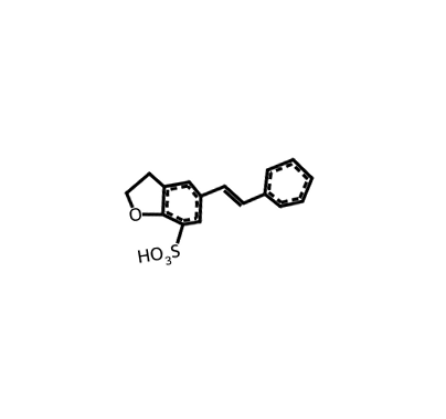 O=S(=O)(O)c1cc(C=Cc2ccccc2)cc2c1OCC2